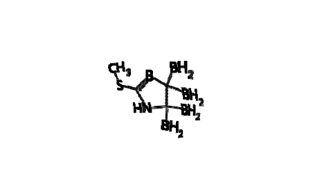 BC1(B)B=C(SC)NC1(B)B